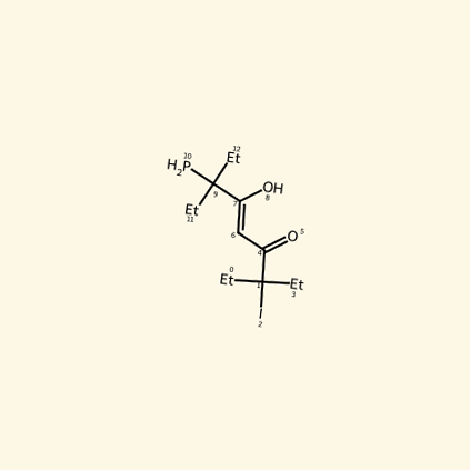 CCC(I)(CC)C(=O)/C=C(\O)C(P)(CC)CC